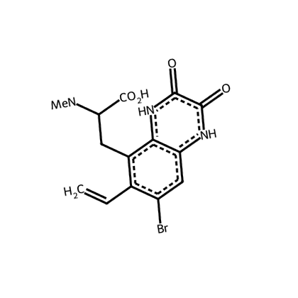 C=Cc1c(Br)cc2[nH]c(=O)c(=O)[nH]c2c1CC(NC)C(=O)O